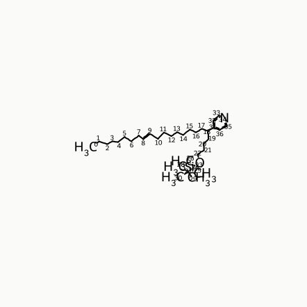 CCCCCCCC/C=C/CCCCCCCCC(CCCCO[Si](C)(C)C(C)(C)C)c1ccncc1